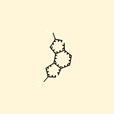 Nc1cc2c(ccc3sc(N)cc32)o1